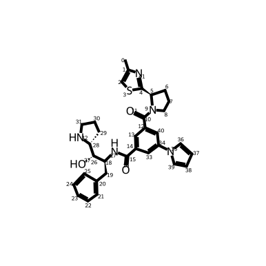 Cc1csc([C@H]2CCCN2C(=O)c2cc(C(=O)N[C@@H](Cc3ccccc3)[C@H](O)[C@H]3CCCN3)cc(-n3cccc3)c2)n1